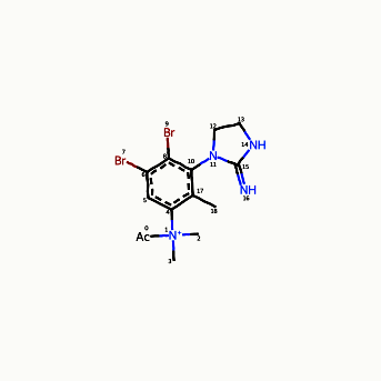 CC(=O)[N+](C)(C)c1cc(Br)c(Br)c(N2CCNC2=N)c1C